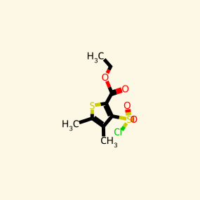 CCOC(=O)c1sc(C)c(C)c1S(=O)(=O)Cl